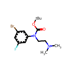 CN(C)CCN(C(=O)OC(C)(C)C)c1cc(F)cc(Br)c1